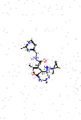 Cc1nccc(CNC(=O)c2c(C)oc3ncnc(NC4(C)CC4)c23)n1